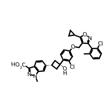 Cc1cccc(Cl)c1-c1noc(C2CC2)c1COc1ccc([C@]2(O)C[C@@H](c3ccc4c(C(=O)O)nn(C)c4c3)C2)c(Cl)c1